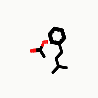 CC(=O)O.CC(C)CCc1ccccc1